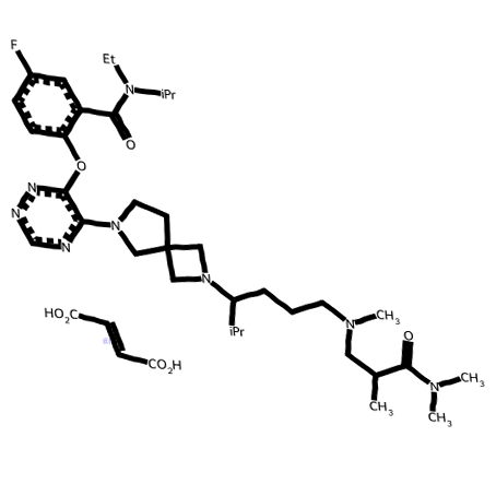 CCN(C(=O)c1cc(F)ccc1Oc1nncnc1N1CCC2(C1)CN(C(CCCN(C)CC(C)C(=O)N(C)C)C(C)C)C2)C(C)C.O=C(O)/C=C/C(=O)O